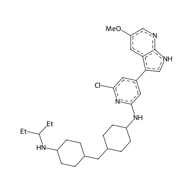 CCC(CC)NC1CCC(CC2CCC(Nc3cc(-c4c[nH]c5ncc(OC)cc45)cc(Cl)n3)CC2)CC1